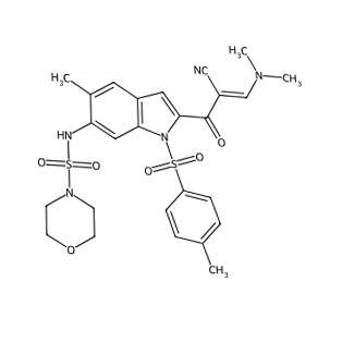 Cc1ccc(S(=O)(=O)n2c(C(=O)C(C#N)=CN(C)C)cc3cc(C)c(NS(=O)(=O)N4CCOCC4)cc32)cc1